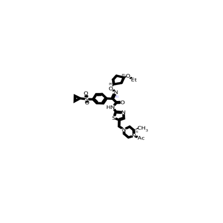 CCO[C@@H]1CC[C@@H](O/N=C(/C(=O)Nc2ncc(CN3CCN(C(C)=O)[C@@H](C)C3)s2)c2ccc(S(=O)(=O)C3CC3)cc2)C1